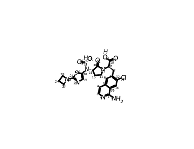 Nc1nccc2cc(C[C@H](C(=O)O)N3CC[C@H](N(c4cnc(N5CCC5)s4)[SH](=O)=O)C3=O)c(Cl)cc12